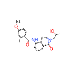 CCOc1ccc(C(=O)Nc2cccc3c(=O)n(CC(C)O)ccc23)c(C)c1